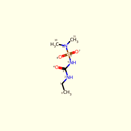 CCNC(=O)NS(=O)(=O)N(C)C